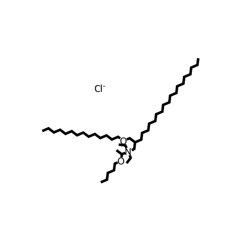 CCCCCCCCCCCCCCCCCCC(COCCCCCCCCCCCCCC)C[N+](CC)(CC)C(C)OCCCCC.[Cl-]